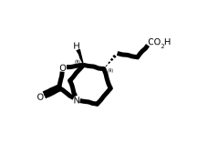 O=C(O)CC[C@@H]1CCN2C[C@@H]1OC2=O